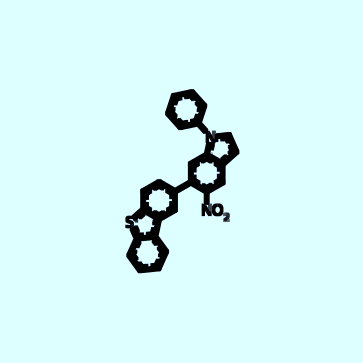 O=[N+]([O-])c1cc2ccn(-c3ccccc3)c2cc1-c1ccc2sc3ccccc3c2c1